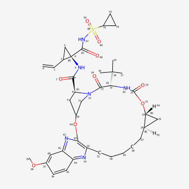 C=CC1C[C@]1(NC(=O)[C@@H]1CC2CN1C(=O)[C@H](C(C)(C)C)NC(=O)O[C@@H]1C[C@H]1CCCCCc1nc3ccc(OC)cc3nc1O2)C(=O)NS(=O)(=O)C1CC1